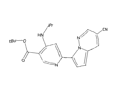 CC(C)Nc1cc(-c2ccc3cc(C#N)cnn23)ncc1C(=O)OC(C)(C)C